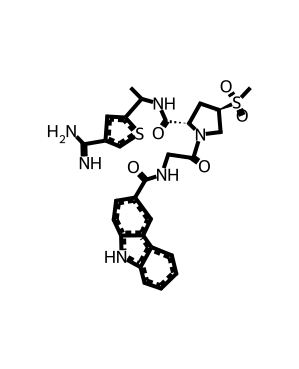 CC(NC(=O)[C@@H]1C[C@@H](S(C)(=O)=O)CN1C(=O)CNC(=O)c1ccc2[nH]c3ccccc3c2c1)c1cc(C(=N)N)cs1